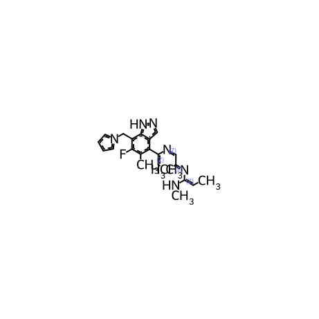 C\C=C(/N=C(C)/C=N\C(=C/C)c1c(C)c(F)c(Cn2cccc2)c2[nH]ncc12)NC